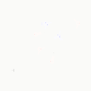 CCCCOc1c2n(ccc1=O)C1(CCOCC1)CNC2=O